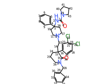 O=C(NC1(c2ccccc2)CCN(CCC2(c3ccc(Cl)c(Cl)c3)CCCN(Cc3ccccc3)C2=O)CC1)N1CCCC1